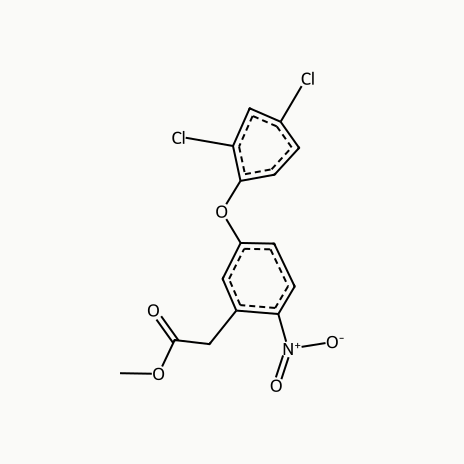 COC(=O)Cc1cc(Oc2ccc(Cl)cc2Cl)ccc1[N+](=O)[O-]